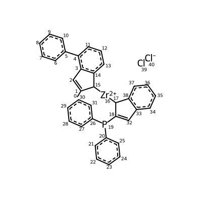 CC1=Cc2c(-c3ccccc3)cccc2[CH]1[Zr+2][CH]1C(P(c2ccccc2)c2ccccc2)=Cc2ccccc21.[Cl-].[Cl-]